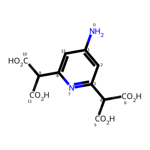 Nc1cc(C(C(=O)O)C(=O)O)nc(C(C(=O)O)C(=O)O)c1